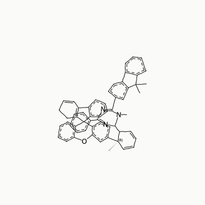 CN1C(c2ccc3c(c2)C(C)(C)c2ccccc2-3)=NC(c2ccccc2)=NC1C1C=CC=C[C@@]1(C)c1ccc2c(c1)Oc1ccccc1C21C2=C(C=CCC2)c2ccccc21